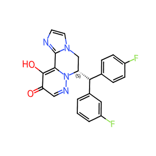 O=c1cnn2c(c1O)-c1nccn1C[C@@H]2C(c1ccc(F)cc1)c1cccc(F)c1